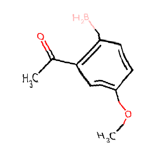 Bc1ccc(OC)cc1C(C)=O